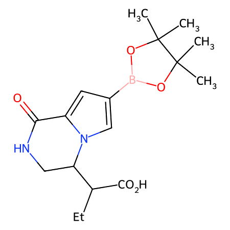 CCC(C(=O)O)C1CNC(=O)c2cc(B3OC(C)(C)C(C)(C)O3)cn21